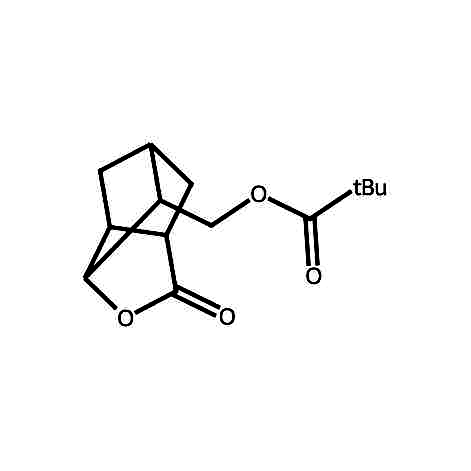 CC(C)(C)C(=O)OCC1C2CC3C(=O)OC1C3C2